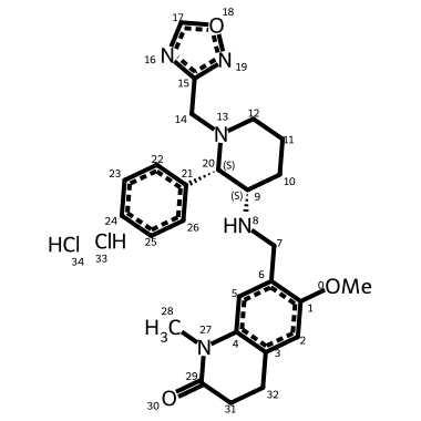 COc1cc2c(cc1CN[C@H]1CCCN(Cc3ncon3)[C@H]1c1ccccc1)N(C)C(=O)CC2.Cl.Cl